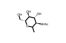 CC(=O)N[C@H]1C(C)O[C@H](CO)[C@@H](O)[C@@H]1O